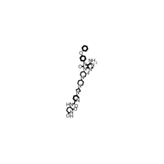 Nc1ncnc2c1n(-c1ccc(Oc3ccccc3)cc1)c(=O)n2[C@@H]1CCN(C2CCN(C3CN(c4ccc(C(=O)NC5CCC(=O)NC5=O)nc4)C3)CC2)C[C@H]1F